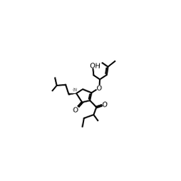 CCC(C)C(=O)C1=C(OC(C=C(C)C)CO)C[C@H](CCC(C)C)C1=O